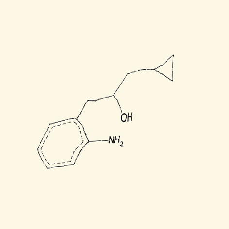 Nc1ccccc1CC(O)CC1CC1